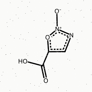 O=C(O)c1cn[n+]([O-])o1